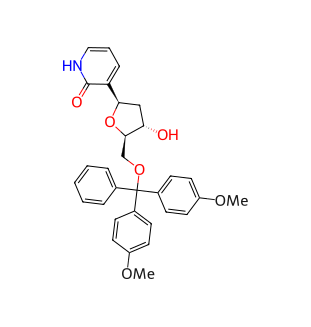 COc1ccc(C(OC[C@H]2O[C@@H](c3ccc[nH]c3=O)C[C@@H]2O)(c2ccccc2)c2ccc(OC)cc2)cc1